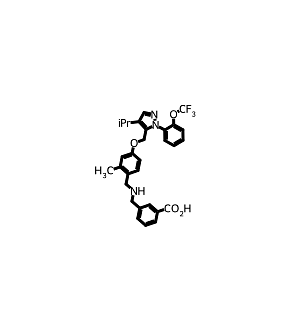 Cc1cc(OCc2c(C(C)C)cnn2-c2ccccc2OC(F)(F)F)ccc1CNCc1cccc(C(=O)O)c1